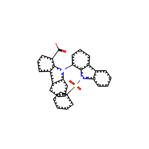 O=C(O)c1cccc2c3ccccc3n(-c3cccc4c5ccccc5n(S(=O)(=O)c5ccccc5)c34)c12